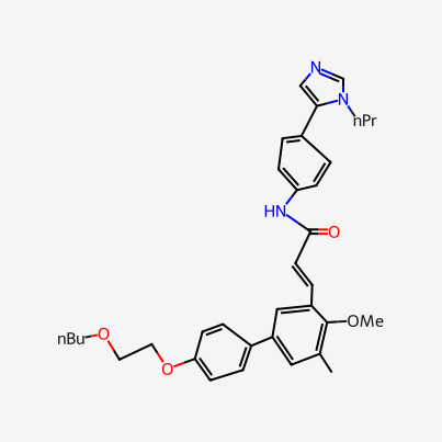 CCCCOCCOc1ccc(-c2cc(C)c(OC)c(/C=C/C(=O)Nc3ccc(-c4cncn4CCC)cc3)c2)cc1